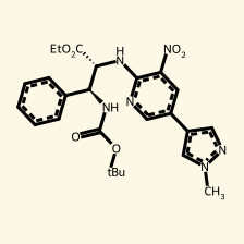 CCOC(=O)[C@H](Nc1ncc(-c2cnn(C)c2)cc1[N+](=O)[O-])[C@@H](NC(=O)OC(C)(C)C)c1ccccc1